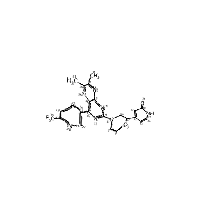 Cc1nc2nc(N3CCOC(c4cc[nH]c(=O)c4)C3)nc(-c3ccc(C(F)(F)F)nc3)c2nc1C